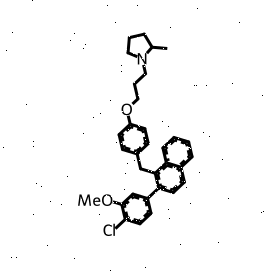 COc1cc(-c2ccc3ccccc3c2Cc2ccc(OCCCN3CCCC3C)cc2)ccc1Cl